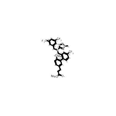 COC(=O)CCc1ccc(OC)c(-c2ccc(C(F)(F)F)cc2CN(Cc2cc(C(F)(F)F)cc(C(F)(F)F)c2)c2nnn(C)n2)c1